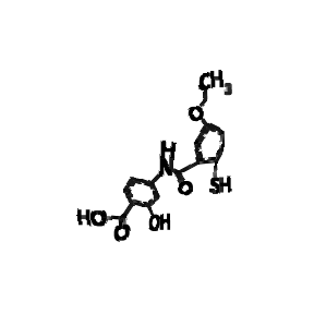 CCOc1ccc(S)c(C(=O)Nc2ccc(C(=O)O)c(O)c2)c1